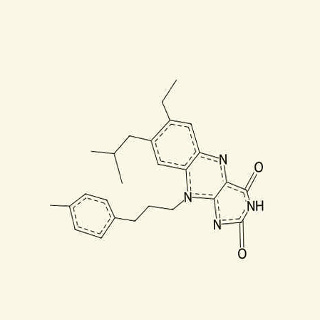 CCc1cc2nc3c(=O)[nH]c(=O)nc-3n(CCCc3ccc(C)cc3)c2cc1CC(C)C